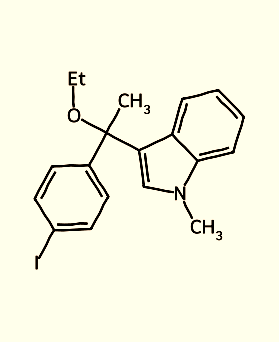 CCOC(C)(c1ccc(I)cc1)c1cn(C)c2ccccc12